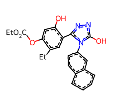 CCOC(=O)Oc1cc(O)c(-c2nnc(O)n2-c2ccc3ccccc3c2)cc1CC